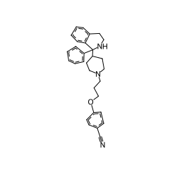 N#Cc1ccc(OCCCN2CCC(C3(c4ccccc4)NCCc4ccccc43)CC2)cc1